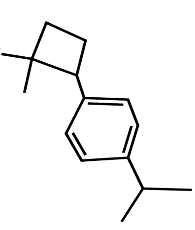 CC(C)c1ccc(C2CCC2(C)F)cc1